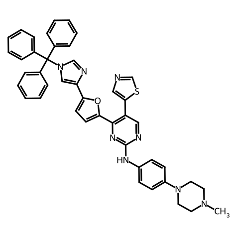 CN1CCN(c2ccc(Nc3ncc(-c4cncs4)c(-c4ccc(-c5cn(C(c6ccccc6)(c6ccccc6)c6ccccc6)cn5)o4)n3)cc2)CC1